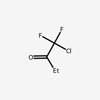 CCC(=O)C(F)(F)Cl